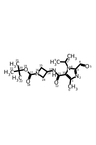 Cc1nc(C=O)n(C(C)C)c1C(=O)NC1CN(C(=O)OC(C)(C)C)C1